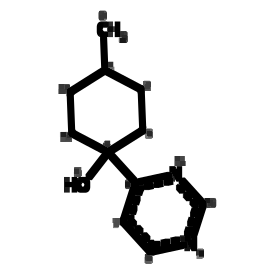 CC1CCC(O)(c2ccncn2)CC1